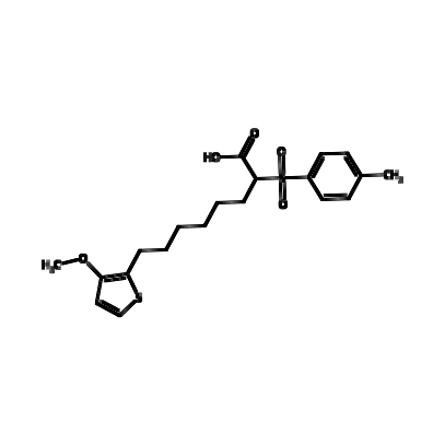 COc1ccsc1CCCCCCC(C(=O)O)S(=O)(=O)c1ccc(C)cc1